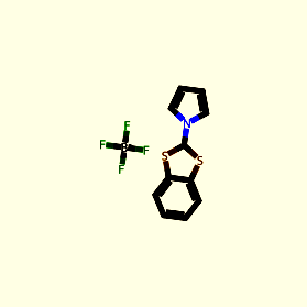 F[B-](F)(F)F.c1ccc2c(c1)SC(n1cccc1)S2